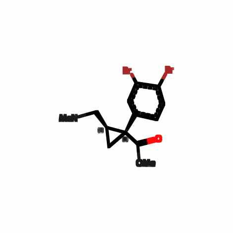 CNC[C@@H]1C[C@]1(C(=O)OC)c1ccc(Br)c(Br)c1